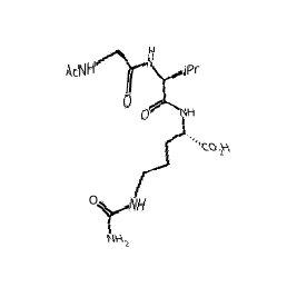 CC(=O)NCC(=O)N[C@H](C(=O)N[C@@H](CCCNC(N)=O)C(=O)O)C(C)C